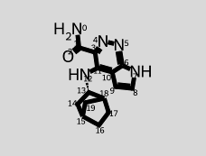 NC(=O)c1nnc2[nH]ccc2c1N[C@H]1CC2CCC1C2